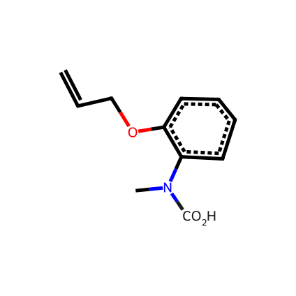 C=CCOc1ccccc1N(C)C(=O)O